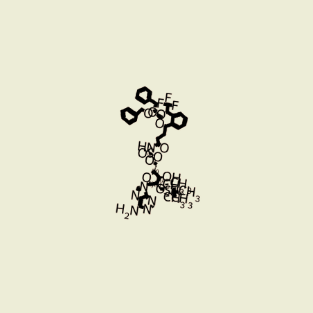 CC(C)(C)[Si](C)(C)O[C@@H]1[C@H](O)[C@@H](COS(=O)(=O)NC(=O)CCC(OCOCc2ccccc2)c2ccccc2C(OCOCc2ccccc2)C(F)(F)F)O[C@H]1n1cnc2c(N)ncnc21